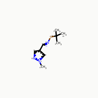 Cn1cc(/C=N/SC(C)(C)C)cn1